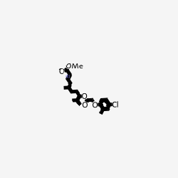 C=C(C)C(CCC(C)C/C=C/C(=O)OC)OC(=O)COc1ccc(Cl)cc1C